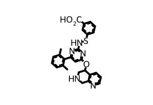 Cc1cccc(C)c1-c1cc(OC2CNCc3ncccc32)nc(NSc2cccc(C(=O)O)c2)n1